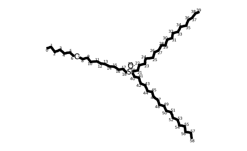 CCCCCCCCCCCCCCCCCCC[Si]([O])(CCCCCCCCCCCCCCCCCCC)CCCCCCCCCCCCCCCCCCC